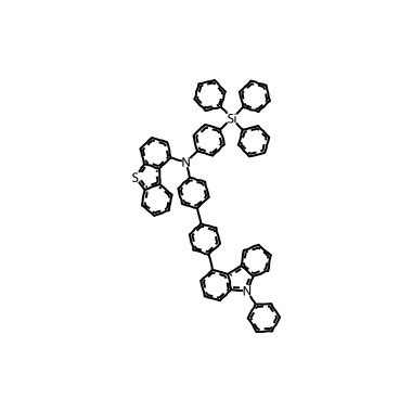 c1ccc(-n2c3ccccc3c3c(-c4ccc(-c5ccc(N(c6ccc([Si](c7ccccc7)(c7ccccc7)c7ccccc7)cc6)c6cccc7sc8ccccc8c67)cc5)cc4)cccc32)cc1